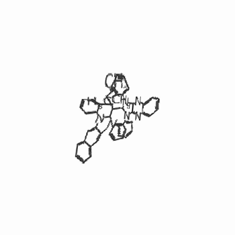 C=CCC1(C)c2ccccc2N2c3cc4ccccc4cc3N(c3ccccc3)C2C1C1N(c2ccccc2)c2nc3ccccc3nc2N1c1ccccc1C